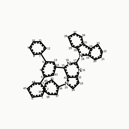 c1ccc(-c2cc(-c3ccccc3)cc(-c3nc(-n4c5ccccc5c5ccccc54)nc4ccn(-c5ccccc5)c34)c2)cc1